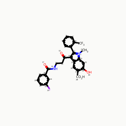 Cn1c(-c2ccccc2C(F)(F)F)c(C(=O)CCNC(=O)c2cccc(I)c2)c2cc(C(=O)O)c(O)cc21